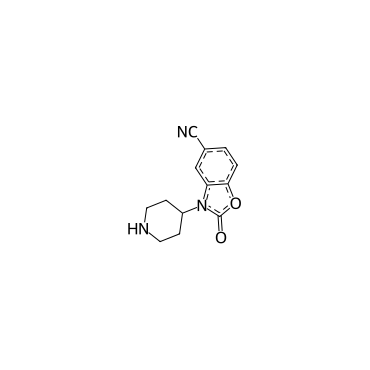 N#Cc1ccc2oc(=O)n(C3CCNCC3)c2c1